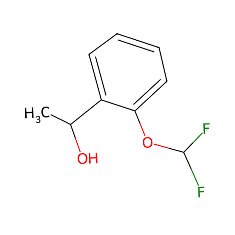 CC(O)c1ccccc1OC(F)F